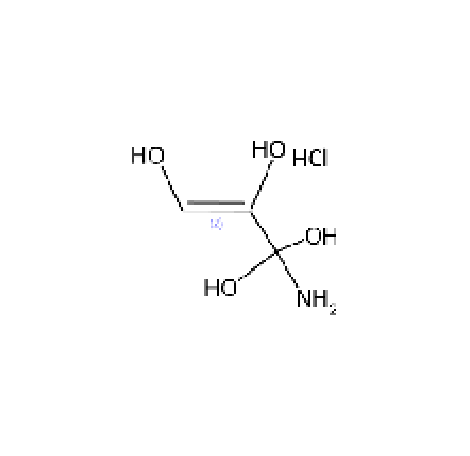 Cl.NC(O)(O)/C(O)=C/O